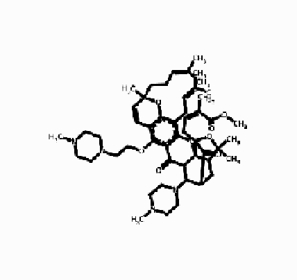 COC(=O)/C(C)=C\CC12OC(C)(C)C3CC(C1=O)C(N1CCN(C)CC1)C1C(=O)c4c(OCCN5CCN(C)CC5)c5c(c(CC=C(C)C)c4OC132)OC(C)(CCC=C(C)C)C=C5